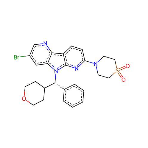 O=S1(=O)CCN(c2ccc3c4ncc(Br)cc4n([C@H](c4ccccc4)C4CCOCC4)c3n2)CC1